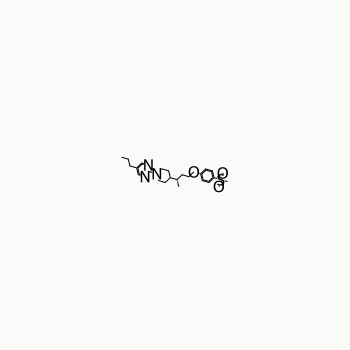 CCCc1cnc(N2CCC([C@H](C)CCOc3ccc(S(C)(=O)=O)cc3)CC2)nc1